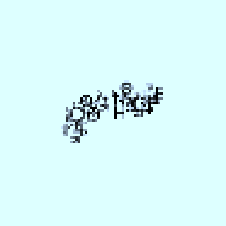 O=C(NC[C@H]1C[C@H](S(=O)(=O)c2cccc(C(F)(F)F)c2)C1)c1ccnc(C(F)(F)F)c1